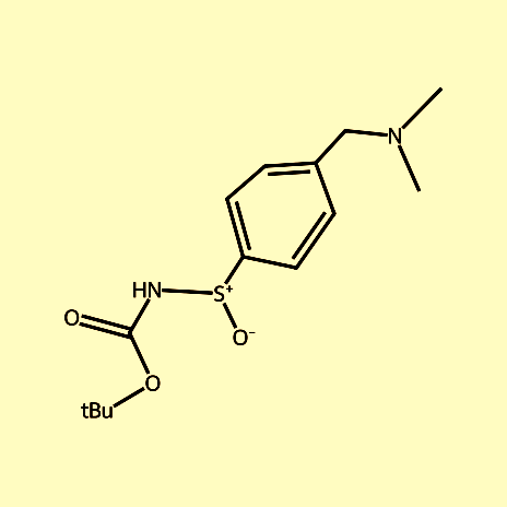 CN(C)Cc1ccc([S+]([O-])NC(=O)OC(C)(C)C)cc1